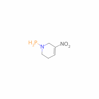 O=[N+]([O-])C1=CCCN(P)C1